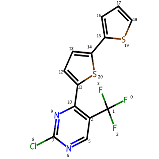 FC(F)(F)c1cnc(Cl)nc1-c1ccc(-c2cccs2)s1